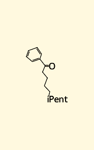 CCCC(C)CCCCC(=O)c1ccccc1